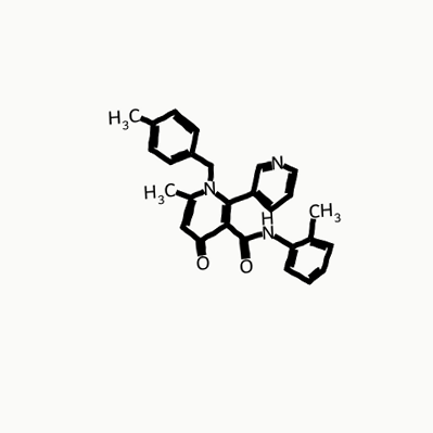 Cc1ccc(Cn2c(C)cc(=O)c(C(=O)Nc3ccccc3C)c2-c2cccnc2)cc1